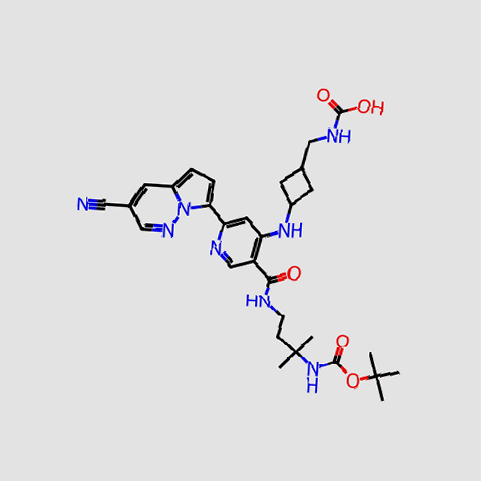 CC(C)(CCNC(=O)c1cnc(-c2ccc3cc(C#N)cnn23)cc1NC1CC(CNC(=O)O)C1)NC(=O)OC(C)(C)C